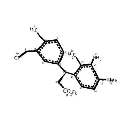 CCOC(=O)C[C@@H](c1ccc(C)c(CCl)c1)c1ccc(NC)c(N)c1C